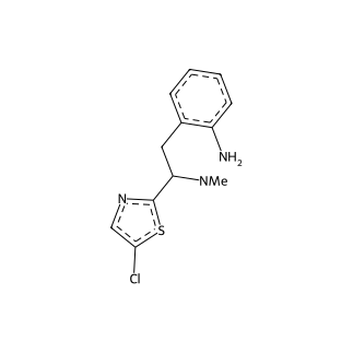 CNC(Cc1ccccc1N)c1ncc(Cl)s1